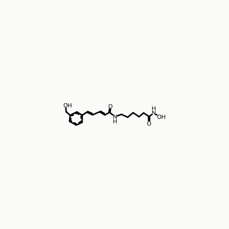 O=C(/C=C/C=C/c1cccc(CO)c1)NCCCCCC(=O)NO